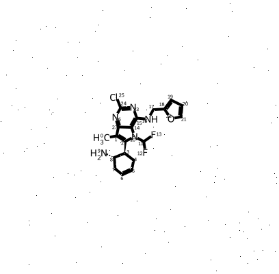 Cc1c([C@H]2CC=CC[C@@H]2N)n(C(F)F)c2c(NCc3ccco3)nc(Cl)nc12